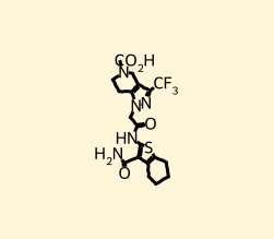 NC(=O)c1c(NC(=O)Cn2nc(C(F)(F)F)c3c2CCN(C(=O)O)C3)sc2c1CCCC2